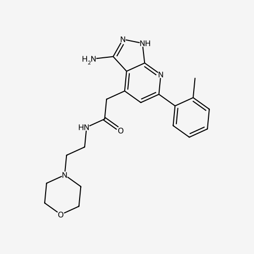 Cc1ccccc1-c1cc(CC(=O)NCCN2CCOCC2)c2c(N)n[nH]c2n1